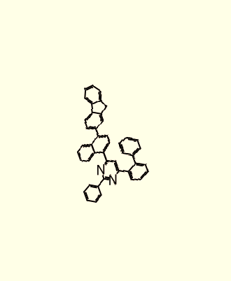 c1ccc(-c2nc(-c3ccccc3-c3ccccc3)cc(-c3ccc(-c4ccc5c(c4)Cc4ccccc4-5)c4ccccc34)n2)cc1